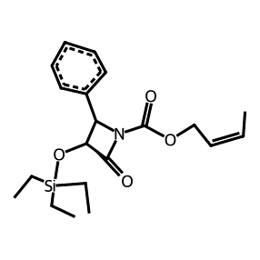 C/C=C\COC(=O)N1C(=O)C(O[Si](CC)(CC)CC)C1c1ccccc1